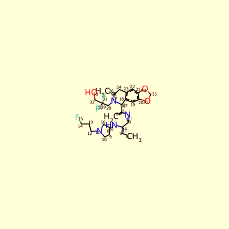 C=C(/N=C\C(=C/C)N[C@H]1CCN(CCCF)C1)[C@@H]1c2cc3c(cc2C[C@@H](C)N1CC(F)(F)CO)OCO3